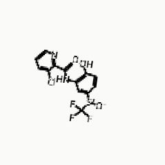 O=C(Nc1cc([S+]([O-])C(F)(F)F)ccc1O)c1ncccc1Cl